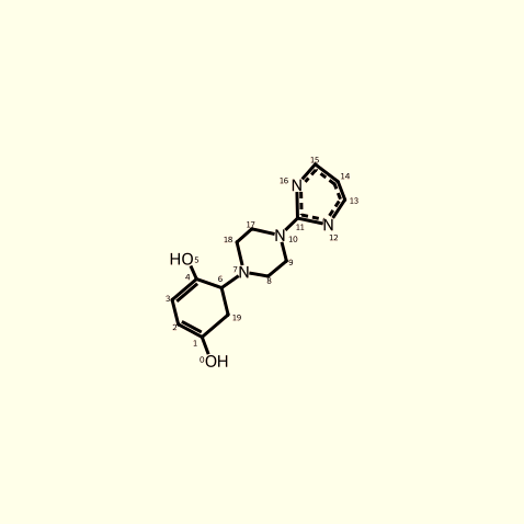 OC1=CC=C(O)C(N2CCN(c3ncccn3)CC2)C1